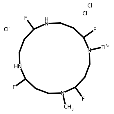 CN1CCC(F)NCCC(F)NCCC(F)[N]([Ti+3])CCC1F.[Cl-].[Cl-].[Cl-]